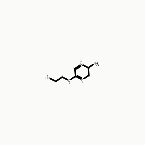 NC1CN=C(OCCO)C=N1